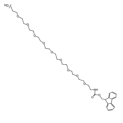 O=C(O)CCOCCOCCOCCOCCOCCOCCOCCOCCOCCNC(=O)OCC1c2ccccc2-c2ccccc21